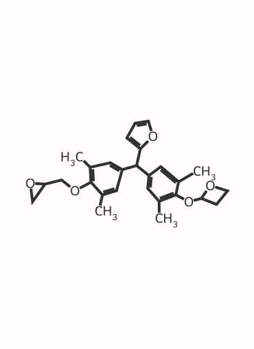 Cc1cc(C(c2cc(C)c(OC3CCO3)c(C)c2)c2ccco2)cc(C)c1OCC1CO1